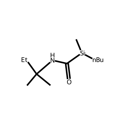 CCCC[Si](C)C(=O)NC(C)(C)CC